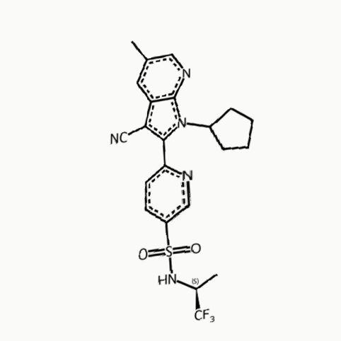 Cc1cnc2c(c1)c(C#N)c(-c1ccc(S(=O)(=O)N[C@@H](C)C(F)(F)F)cn1)n2C1CCCC1